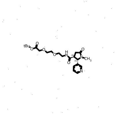 CN1C(=O)C[C@H](C(=O)NCCOCCOCC(=O)OC(C)(C)C)[C@H]1c1cccnc1